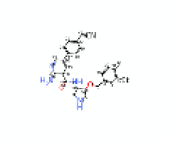 CCc1cc(CO[C@H]2CNC[C@@H]2NC(=O)c2cc(-c3ccc(CC#N)cc3)cnc2N)ccc1C